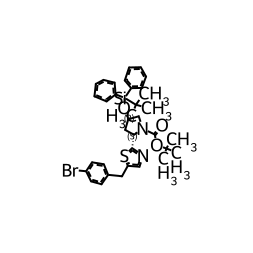 CC(C)(C)OC(=O)N1C[C@H](O[Si](c2ccccc2)(c2ccccc2)C(C)(C)C)C[C@H]1c1ncc(Cc2ccc(Br)cc2)s1